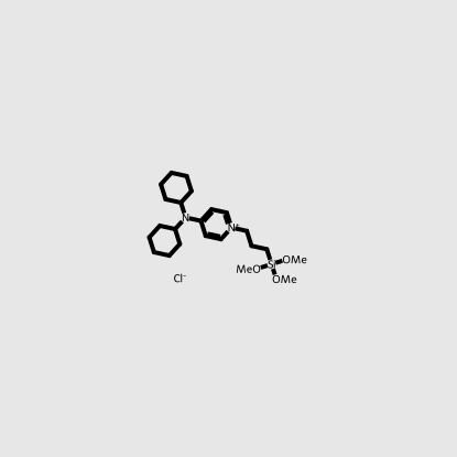 CO[Si](CCC[n+]1ccc(N(C2CCCCC2)C2CCCCC2)cc1)(OC)OC.[Cl-]